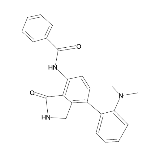 CN(C)c1ccccc1-c1ccc(NC(=O)c2ccccc2)c2c1CNC2=O